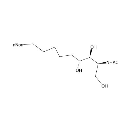 CCCCCCCCCCCCCC[C@@H](O)[C@@H](O)[C@H](CO)NC(C)=O